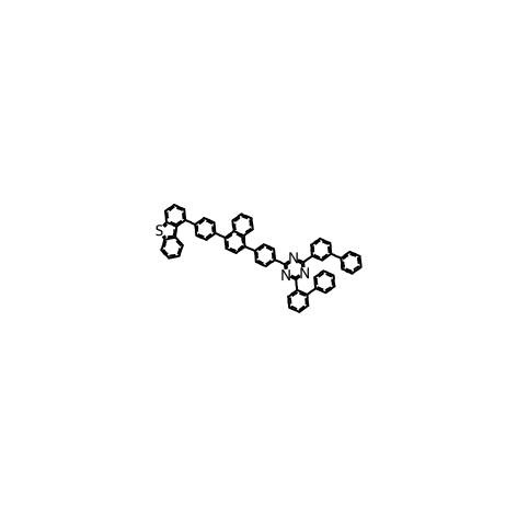 c1ccc(-c2cccc(-c3nc(-c4ccc(-c5ccc(-c6ccc(-c7cccc8sc9ccccc9c78)cc6)c6ccccc56)cc4)nc(-c4ccccc4-c4ccccc4)n3)c2)cc1